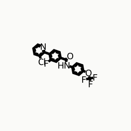 O=C(Nc1ccc(OC(F)(F)F)cc1)c1ccc(-c2ncccc2Cl)c(F)c1